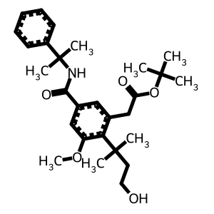 COc1cc(C(=O)NC(C)(C)c2ccccc2)cc(CC(=O)OC(C)(C)C)c1C(C)(C)CCO